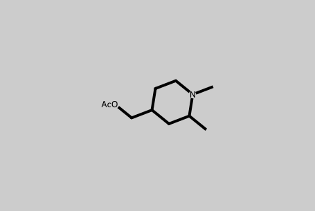 CC(=O)OCC1CCN(C)C(C)C1